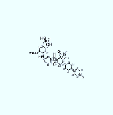 COc1cc(CP(=O)(O)O)ccc1Nc1ncc(C(F)(F)F)c(Nc2ccc(C3CCC(N4CCN(C)CC4)CC3)c3c2C(=O)N(C)C3)n1